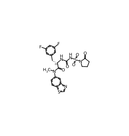 CN(C(=O)[C@H](Cc1cc(F)cc(F)c1)NC(=O)NS(=O)(=O)N1CCCC1=O)c1ccc2scnc2c1